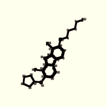 FCCCCOc1ccc2c(oc3c(F)c(OC4CCCC4)ccc32)c1F